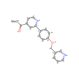 COC(=O)c1ccnc(-c2ccc(OCc3cccnc3)cc2)c1